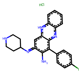 Cl.Nc1c(-c2ccc(Cl)cc2)c2nc3ccccc3[nH]c-2cc1=NC1CCNCC1